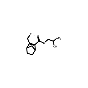 CCC1=C(C(=O)OCC(C)O)C2CCC1C2